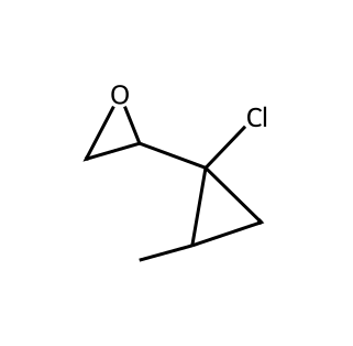 CC1CC1(Cl)C1CO1